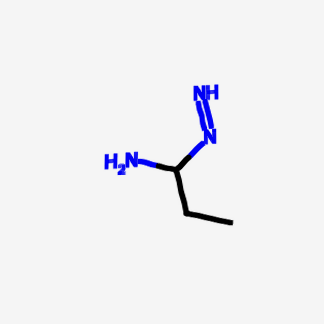 CCC(N)N=N